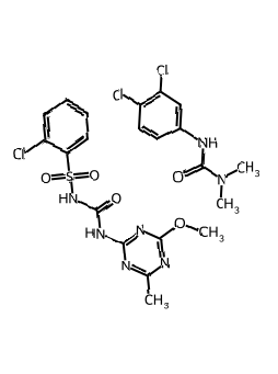 CN(C)C(=O)Nc1ccc(Cl)c(Cl)c1.COc1nc(C)nc(NC(=O)NS(=O)(=O)c2ccccc2Cl)n1